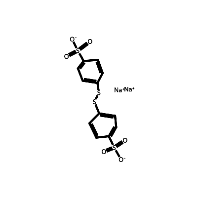 O=S(=O)([O-])c1ccc(SSc2ccc(S(=O)(=O)[O-])cc2)cc1.[Na+].[Na+]